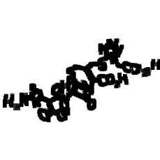 Nc1nc(C(C(=O)NC2C(=O)N3C(C(=O)O)=C(CSc4nnnn4CC(=O)O)CS[C@H]23)=C(Cl)Cl)cs1